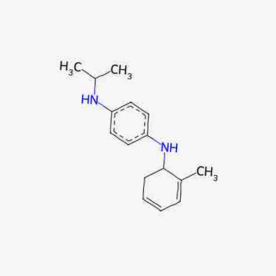 CC1=CC=CCC1Nc1ccc(NC(C)C)cc1